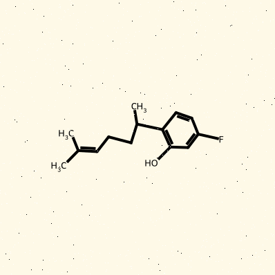 CC(C)=CCCC(C)c1ccc(F)cc1O